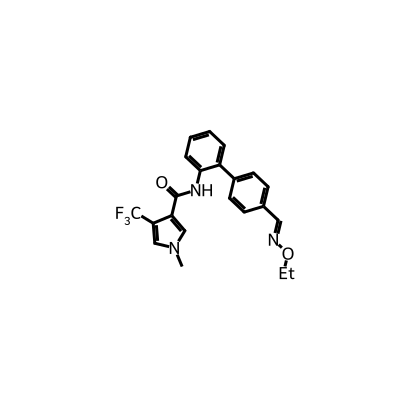 CCO/N=C/c1ccc(-c2ccccc2NC(=O)c2cn(C)cc2C(F)(F)F)cc1